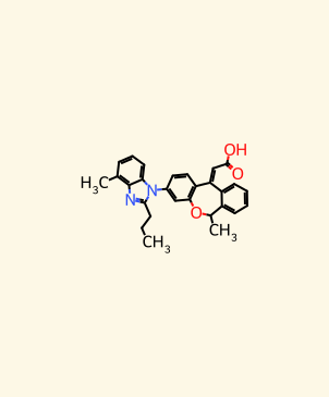 CCCc1nc2c(C)cccc2n1-c1ccc2c(c1)OC(C)c1ccccc1C2=CC(=O)O